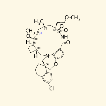 COCC[C@@H]1C[C@H](C)/C=C/[C@H](OC)[C@@H]2CC[C@H]2CN2C[C@@]3(CCCc4cc(Cl)ccc43)COc3ccc(cc32)C(=O)NS1(=O)=O